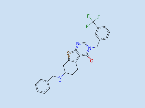 O=c1c2c3c(sc2ncn1Cc1cccc(C(F)(F)F)c1)CC(NCc1ccccc1)CC3